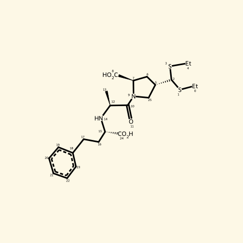 CCSC(SCC)[C@H]1C[C@H](C(=O)O)N(C(=O)[C@H](C)N[C@@H](CCc2ccccc2)C(=O)O)C1